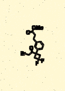 COC(=O)CCc1cccc(C2(C(=O)CBr)CC(F)(F)C2)c1